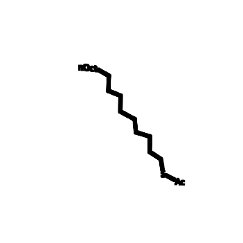 CCCCCCCCCCCCCCCCCSC(C)=O